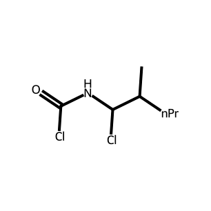 CCCC(C)C(Cl)NC(=O)Cl